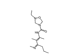 CCCC(=N/C)/C(C)=C(\C)NC(=O)N1CON(CC)C1